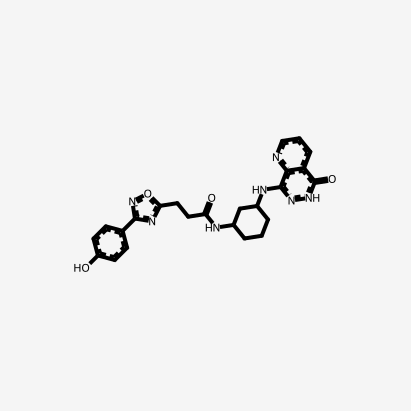 O=C(CCc1nc(-c2ccc(O)cc2)no1)NC1CCCC(Nc2n[nH]c(=O)c3cccnc23)C1